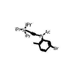 CC(=O)N(C#C[Si](C(C)C)(C(C)C)C(C)C)c1cc(Br)ccc1C